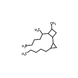 BCCCC(C)C1C(C)CC1C1CC1CCCCC